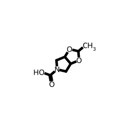 CC1OC2CN(C(=O)O)CC2O1